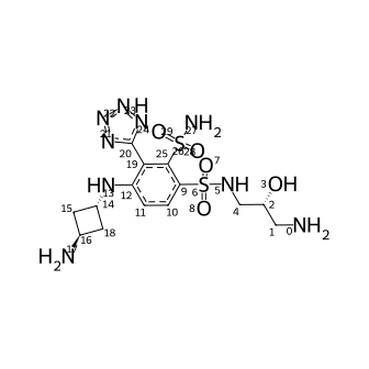 NC[C@@H](O)CNS(=O)(=O)c1ccc(N[C@H]2C[C@H](N)C2)c(-c2nnn[nH]2)c1S(N)(=O)=O